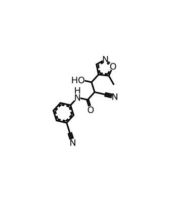 Cc1oncc1C(O)C(C#N)C(=O)Nc1cccc(C#N)c1